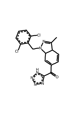 CC1=NN(Cc2c(Cl)cccc2Cl)C2C=C(C(=O)c3nnn[nH]3)C=CC12